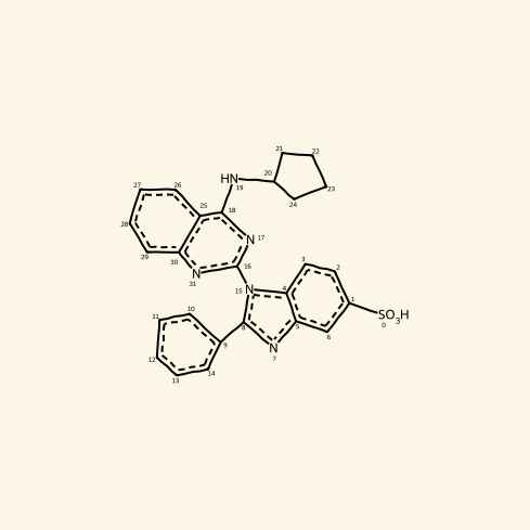 O=S(=O)(O)c1ccc2c(c1)nc(-c1ccccc1)n2-c1nc(NC2CCCC2)c2ccccc2n1